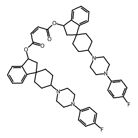 O=C(/C=C\C(=O)OC1CC2(CCC(N3CCN(c4ccc(F)cc4)CC3)CC2)c2ccccc21)OC1CC2(CCC(N3CCN(c4ccc(F)cc4)CC3)CC2)c2ccccc21